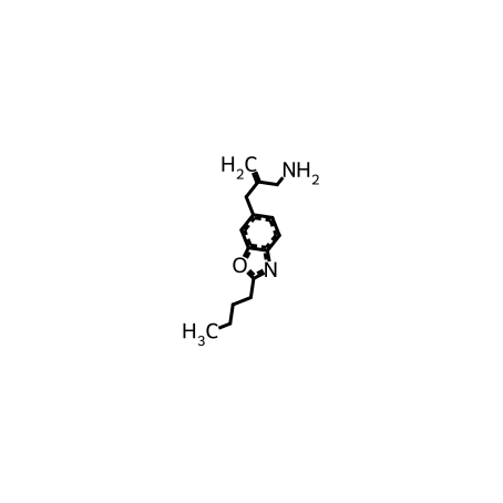 C=C(CN)Cc1ccc2nc(CCCC)oc2c1